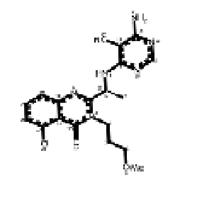 COCCCn1c([C@H](C)Nc2ncnc(N)c2C#N)nc2cccc(Cl)c2c1=O